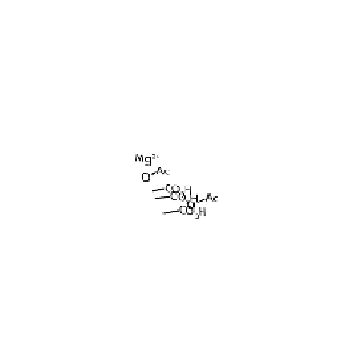 CC(=O)O.CC(=O)O.CC(=O)O.CC(=O)[O-].CC(=O)[O-].[Mg+2]